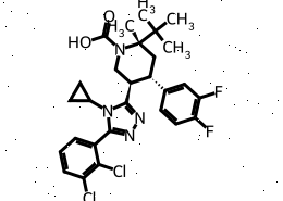 CC(C)(C)[C@]1(C)C[C@H](c2ccc(F)c(F)c2)[C@@H](c2nnc(-c3cccc(Cl)c3Cl)n2C2CC2)CN1C(=O)O